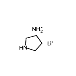 C1CCNC1.[Li+].[NH2-]